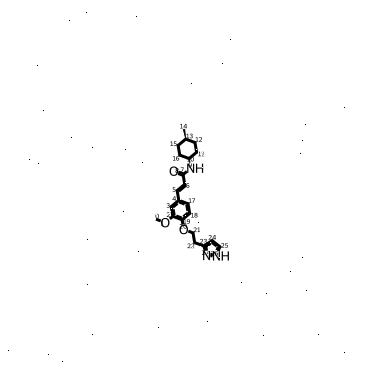 COc1cc(C=CC(=O)N[C@H]2CC[C@H](C)CC2)ccc1OCCc1cc[nH]n1